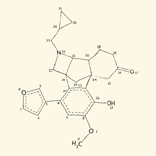 COc1cc(-c2ccoc2)c2c(c1O)[C@]13CC(=O)CCC1C1N(CC4CC4)CC21C3